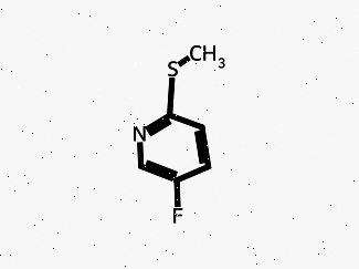 CSc1ccc(F)cn1